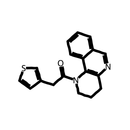 O=C(Cc1ccsc1)N1CCCc2ncc3ccccc3c21